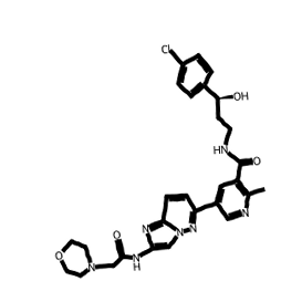 Cc1ncc(-c2ccc3nc(NC(=O)CN4CCOCC4)cn3n2)cc1C(=O)NCC[C@H](O)c1ccc(Cl)cc1